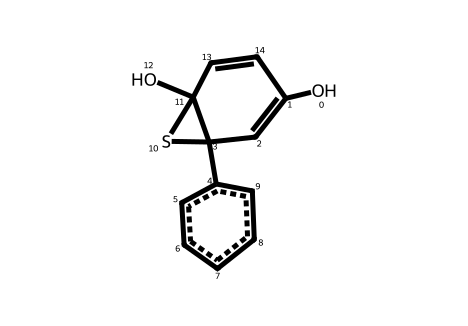 OC1=CC2(c3ccccc3)SC2(O)C=C1